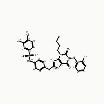 CCCCn1c(=O)n(Cc2ccccc2F)c(=O)c2[nH]c(Cc3ccc(NS(=O)(=O)c4ccc(Cl)c(Cl)c4)cc3)nc21